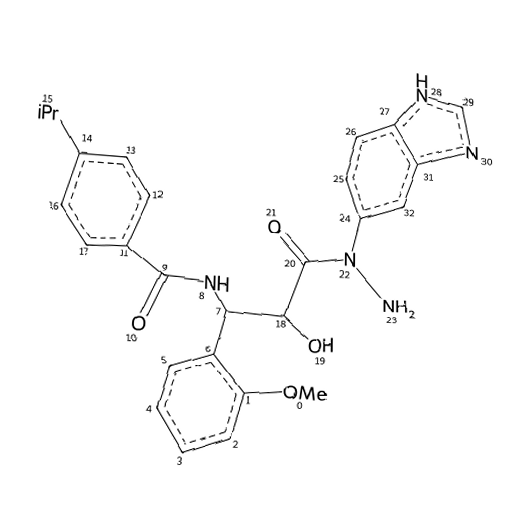 COc1ccccc1C(NC(=O)c1ccc(C(C)C)cc1)C(O)C(=O)N(N)c1ccc2[nH]cnc2c1